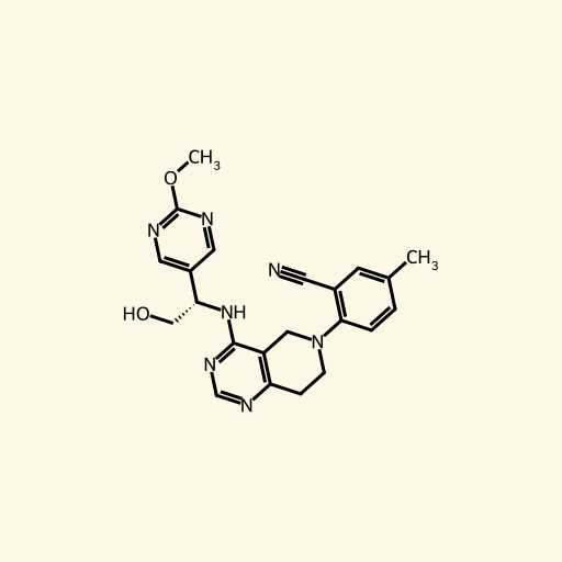 COc1ncc([C@@H](CO)Nc2ncnc3c2CN(c2ccc(C)cc2C#N)CC3)cn1